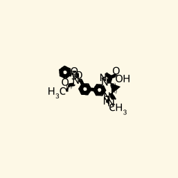 CC[C@@H]1CN(Cc2cccc(-c3cccc(-n4ncc(C(=O)O)c4[C@@H]4C[C@H]4c4cn(C)nn4)c3)c2)S(=O)(=O)c2ccccc2O1